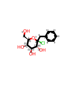 OC[C@H]1O[C@](Cl)(Cc2ccccc2)[C@H](O)[C@@H](O)[C@@H]1O